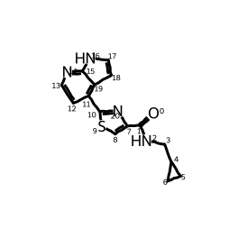 O=C(NCC1CC1)c1csc(-c2ccnc3[nH]ccc23)n1